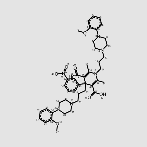 COc1ccccc1N1CCN(CCCN2C(C)=C(C(=O)O)C(CCCN3CCN(c4ccccc4OC)CC3)(c3cccc([N+](=O)[O-])c3)C(C(=O)O)=C2C)CC1